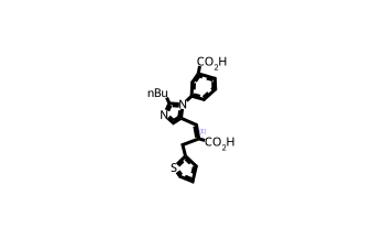 CCCCc1ncc(/C=C(\Cc2cccs2)C(=O)O)n1-c1cccc(C(=O)O)c1